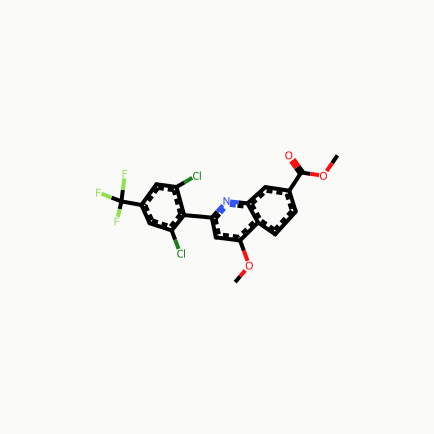 COC(=O)c1ccc2c(OC)cc(-c3c(Cl)cc(C(F)(F)F)cc3Cl)nc2c1